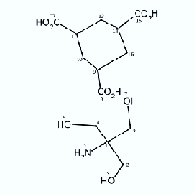 NC(CO)(CO)CO.O=C(O)C1CC(C(=O)O)CC(C(=O)O)C1